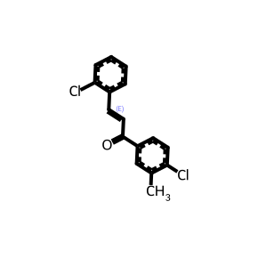 Cc1cc(C(=O)/C=C/c2ccccc2Cl)ccc1Cl